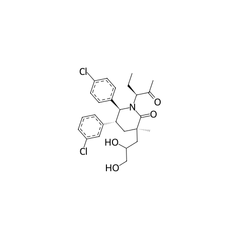 CC[C@@H](C(C)=O)N1C(=O)[C@@](C)(CC(O)CO)C[C@H](c2cccc(Cl)c2)[C@H]1c1ccc(Cl)cc1